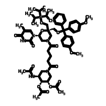 COc1ccc(C(OC[C@]2(CO[Si](C(C)C)(C(C)C)C(C)C)CN(C(=O)CCCC(=O)N3C[C@H](NC(C)=O)[C@@H](OC(C)=O)[C@@H](OC(C)=O)C3)C[C@H](n3cc(C)c(=O)[nH]c3=O)O2)(c2ccccc2)c2ccc(OC)cc2)cc1